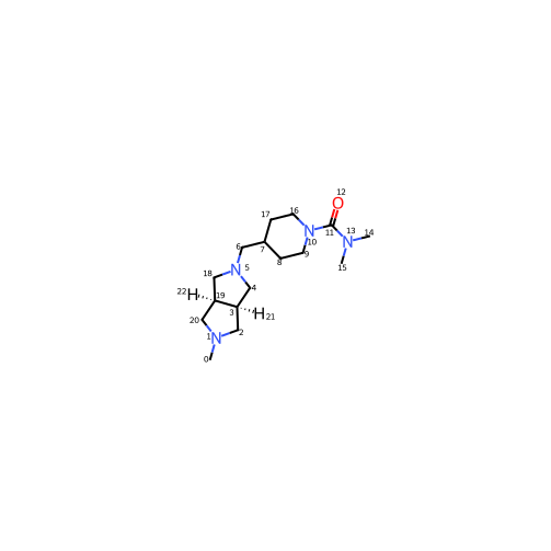 CN1C[C@@H]2CN(CC3CCN(C(=O)N(C)C)CC3)C[C@@H]2C1